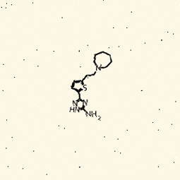 Nc1nc(-c2ccc(CCN3CCCCCC3)s2)n[nH]1